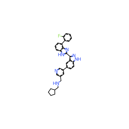 Fc1ccccc1-c1cccc2[nH]c(-c3n[nH]c4ccc(-c5cncc(CNCC6CCCC6)c5)cc34)nc12